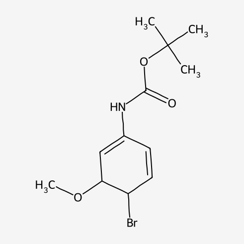 COC1C=C(NC(=O)OC(C)(C)C)C=CC1Br